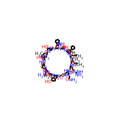 CCCC[C@H]1C(=O)N(C)[C@@H](CCCC)C(=O)N[C@@H](CCCNC(=N)N)C(=O)NC(C(=O)NCC(N)=O)CSCC(=O)N[C@@H](Cc2ccc(O)cc2)C(=O)N(C)[C@@H](C)C(=O)N[C@@H](CC(N)=O)C(=O)N2CCC[C@H]2C(=O)N[C@@H](CO)C(=O)N[C@@H](CC(C)C)C(=O)N2C[C@H](O)C[C@H]2C(=O)N[C@@H](Cc2c[nH]c3ccccc23)C(=O)N[C@@H](CO)C(=O)N[C@@H](Cc2csc3ccccc23)C(=O)N1C